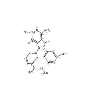 N#CN=C(N)c1cccc(-n2c(-c3cccc(F)c3)nc3c(N)nc(I)nc32)c1